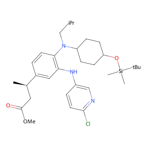 COC(=O)C[C@@H](C)c1ccc(N(CC(C)C)C2CCC(O[Si](C)(C)C(C)(C)C)CC2)c(Nc2ccc(Cl)nc2)c1